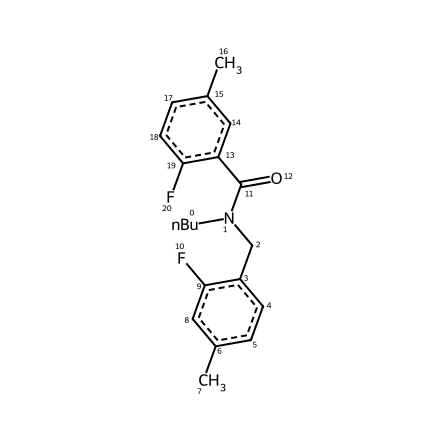 CCCCN(Cc1ccc(C)cc1F)C(=O)c1cc(C)ccc1F